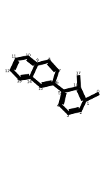 Cc1cccc(-c2ccc3ccccc3c2)c1C